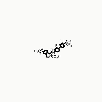 CS(=O)(=O)c1ccc2c(c1)CCN(C(=O)O)C2C(=O)Nc1ccc(-c2ccc(C(O)(C(F)(F)F)C(F)(F)F)cc2)c(F)c1